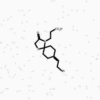 CC(C)CC=C1CCC2(CC1)SCC(=O)N2CCC(=O)O